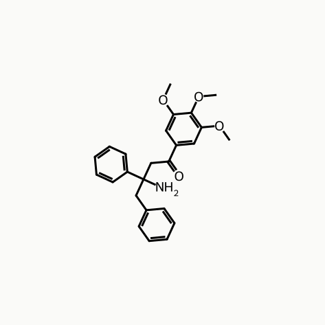 COc1cc(C(=O)CC(N)(Cc2ccccc2)c2ccccc2)cc(OC)c1OC